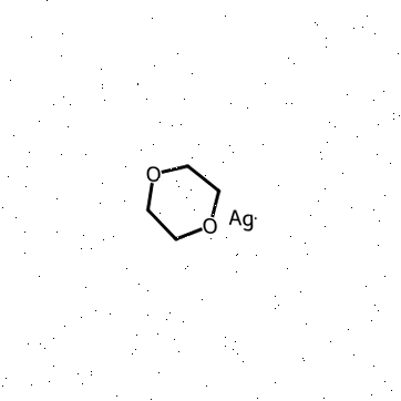 C1COCCO1.[Ag]